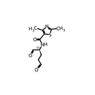 Cc1nc(C)c(C(=O)N[C@H](C=O)CCC=O)s1